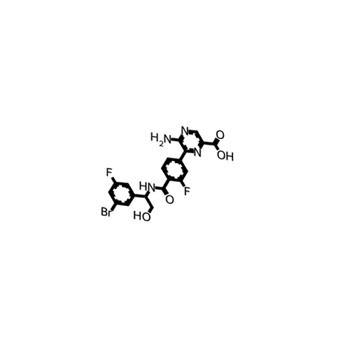 Nc1ncc(C(=O)O)nc1-c1ccc(C(=O)NC(CO)c2cc(F)cc(Br)c2)c(F)c1